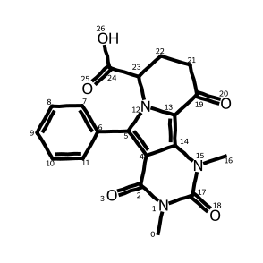 Cn1c(=O)c2c(-c3ccccc3)n3c(c2n(C)c1=O)C(=O)CCC3C(=O)O